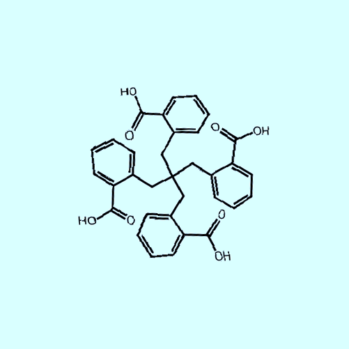 O=C(O)c1ccccc1CC(Cc1ccccc1C(=O)O)(Cc1ccccc1C(=O)O)Cc1ccccc1C(=O)O